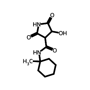 CC1(NC(=O)C2C(=O)NC(=O)C2O)CCCCC1